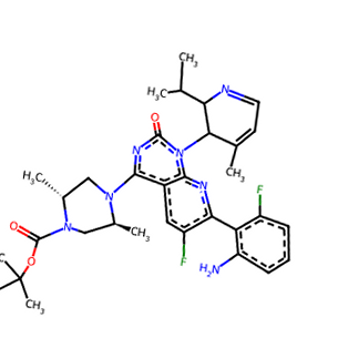 CC1=CC=NC(C(C)C)C1n1c(=O)nc(N2C[C@@H](C)N(C(=O)OC(C)(C)C)C[C@@H]2C)c2cc(F)c(-c3c(N)cccc3F)nc21